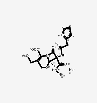 CC(=O)OCC1=C(C(=O)[O-])N2C(=O)[C@](NC(=O)Cc3ccco3)(C(=O)NN)[C@H]2SC1.[Na+]